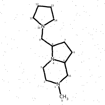 CN1CCN2C(CCC2CN2CCCC2)C1